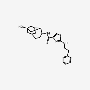 O=C(N[C@H]1CCC2CC3C[C@@](O)(C2)CC31)c1csc(NCCc2ccccc2)n1